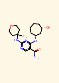 CC1(Nc2ncc(C(N)=O)c(N[C@@H]3CCCC[C@H](O)C3)n2)CCOCC1